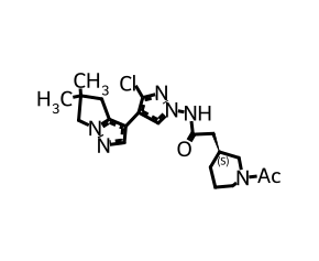 CC(=O)N1CCC[C@@H](CC(=O)Nn2cc(-c3cnn4c3CC(C)(C)C4)c(Cl)n2)C1